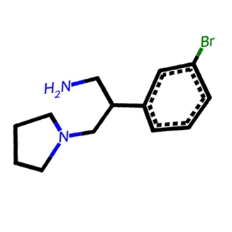 NCC(CN1CCCC1)c1cccc(Br)c1